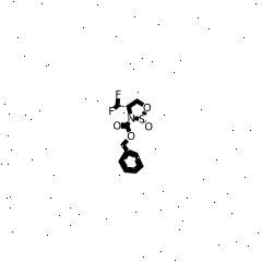 O=C(OCc1ccccc1)N1[C@H](C(F)F)COS1=O